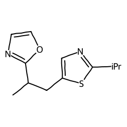 CC(C)c1ncc(CC(C)c2ncco2)s1